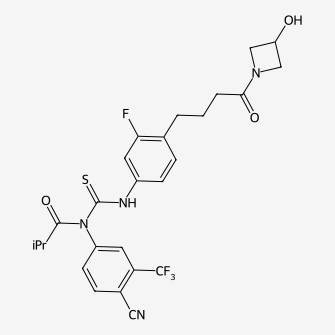 CC(C)C(=O)N(C(=S)Nc1ccc(CCCC(=O)N2CC(O)C2)c(F)c1)c1ccc(C#N)c(C(F)(F)F)c1